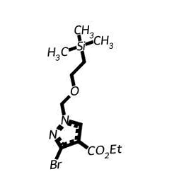 CCOC(=O)c1cn(COCC[Si](C)(C)C)nc1Br